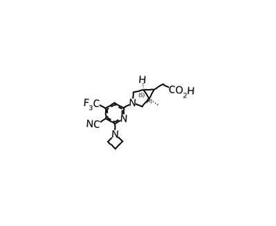 C[C@]12CN(c3cc(C(F)(F)F)c(C#N)c(N4CCC4)n3)C[C@H]1C2CC(=O)O